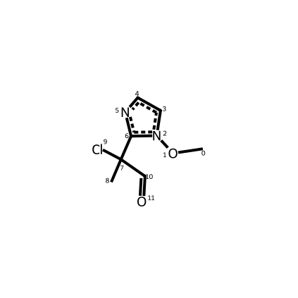 COn1ccnc1C(C)(Cl)C=O